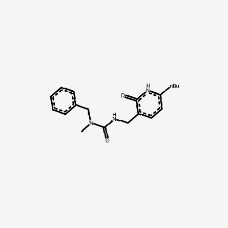 CCCCc1ccc(CNC(=O)N(C)Cc2ccccc2)c(=O)[nH]1